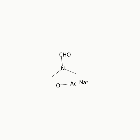 CC(=O)[O-].CN(C)C=O.[Na+]